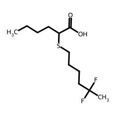 CCCCC(SCCCCC(C)(F)F)C(=O)O